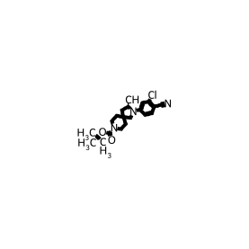 C[C@H]1CC2(CCN(C(=O)OC(C)(C)C)CC2)CN1c1ccc(C#N)c(Cl)c1